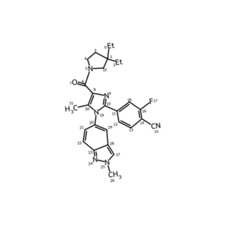 CCC1(CC)CCN(C(=O)c2nc(-c3ccc(C#N)c(F)c3)n(-c3ccc4nn(C)cc4c3)c2C)C1